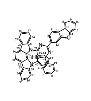 c1ccc(C2N=C(c3ccc4c(c3)oc3ccccc34)N=C(n3c4ccccc4c4ccc5c6ccccc6n(-c6ccccc6)c5c43)N2)cc1